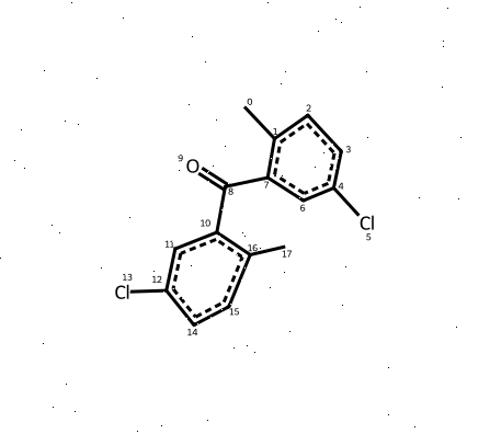 Cc1ccc(Cl)cc1C(=O)c1cc(Cl)ccc1C